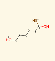 OCCCCCC(O)S